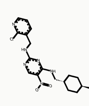 N[C@H]1CC[C@H](CNc2nc(NCc3cccnc3Cl)ncc2[N+](=O)[O-])CC1